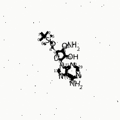 CC(C)(C)[Si](C)(C)OC[C@H]1O[C@@H](n2cnc3c(N)ncnc32)C(O)C1ON